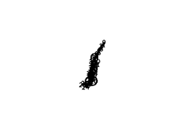 CCCCCCCCOc1ccc(N=Cc2ccc(C(=O)OCC(C)CC)cc2)cc1